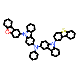 c1ccc(N(c2ccc3c(c2)c2ccccc2n3-c2ccc3oc4ccccc4c3c2)c2ccc3c(c2)c2ccccc2n3-c2ccc3sc4ccccc4c3c2)cc1